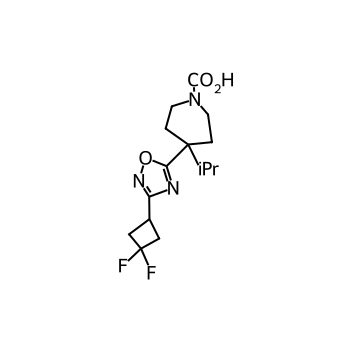 CC(C)C1(c2nc(C3CC(F)(F)C3)no2)CCN(C(=O)O)CC1